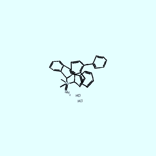 Cl.Cl.[CH3][Zr]([CH3])(=[SiH2])([CH]1C=Cc2c(-c3ccccc3)cccc21)[CH]1C(c2ccccc2)=Cc2ccccc21